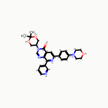 CC1(C)OCC(n2cnc3c(-c4cccnc4)nc(-c4ccc(N5CCOCC5)cc4)cc3c2=O)CO1